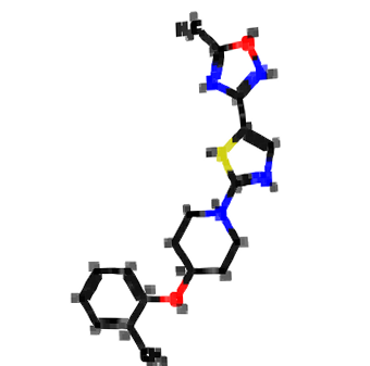 Cc1nc(-c2cnc(N3CCC(Oc4ccccc4C)CC3)s2)no1